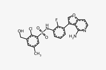 Cc1cc(CO)c(Cl)c(S(=O)(=O)Nc2cccc(-c3coc4ccnc(N)c34)c2F)c1